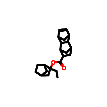 CCC1(OC(=O)C2CC3CC2C2C4C=CC(C4)C32)CC2CCC1C2